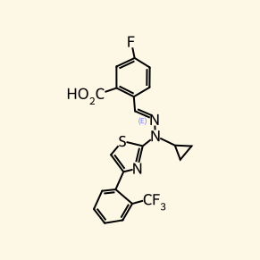 O=C(O)c1cc(F)ccc1/C=N/N(c1nc(-c2ccccc2C(F)(F)F)cs1)C1CC1